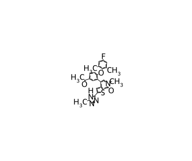 CC(=O)c1ccc(Oc2c(C)cc(F)cc2C)c(-c2cn(C)c(=O)c3sc(-c4nnc(C)[nH]4)cc23)c1